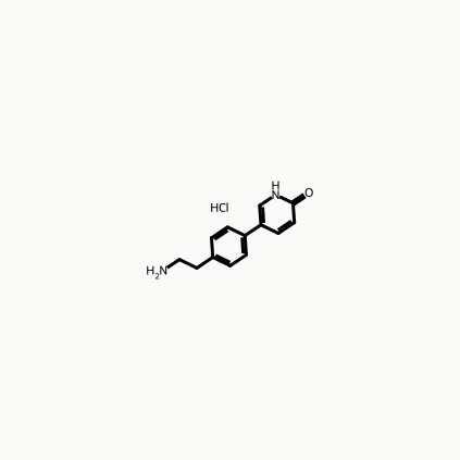 Cl.NCCc1ccc(-c2ccc(=O)[nH]c2)cc1